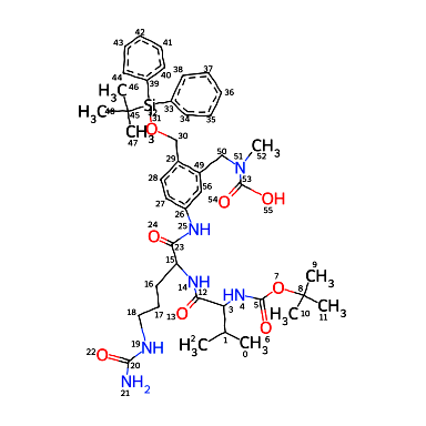 CC(C)C(NC(=O)OC(C)(C)C)C(=O)NC(CCCNC(N)=O)C(=O)Nc1ccc(CO[Si](c2ccccc2)(c2ccccc2)C(C)(C)C)c(CN(C)C(=O)O)c1